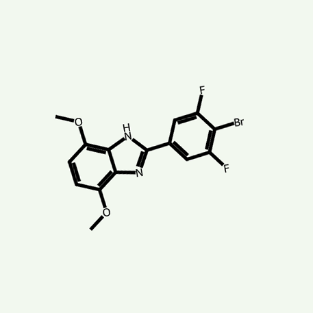 COc1ccc(OC)c2[nH]c(-c3cc(F)c(Br)c(F)c3)nc12